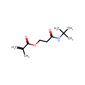 C=C(C)C(=O)OCCC(=O)NC(C)(C)C